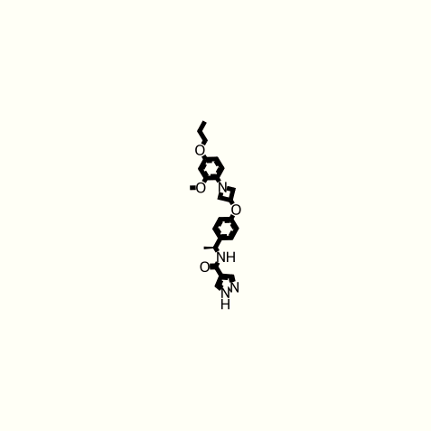 CCCOc1ccc(N2CC(Oc3ccc([C@H](C)NC(=O)c4cn[nH]c4)cc3)C2)c(OC)c1